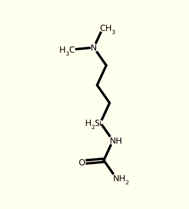 CN(C)CCC[SiH2]NC(N)=O